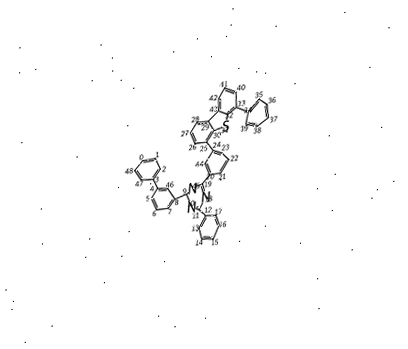 c1ccc(-c2cccc(-c3nc(-c4ccccc4)nc(-c4cccc(-c5cccc6c5sc5c(-c7ccccc7)cccc56)c4)n3)c2)cc1